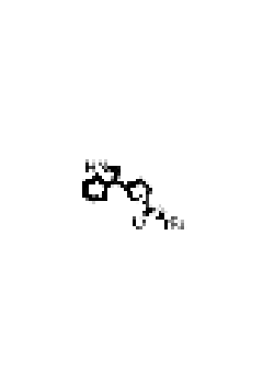 CC(C)(C)OC(=O)N1CC=C(c2c[nH]c3ccccc23)C1